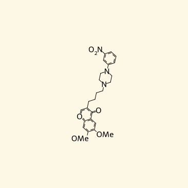 COc1cc2occ(CCCCN3CCN(c4cccc([N+](=O)[O-])c4)CC3)c(=O)c2cc1OC